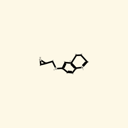 C1=Nc2ccc(OCC3CO3)cc2CC1